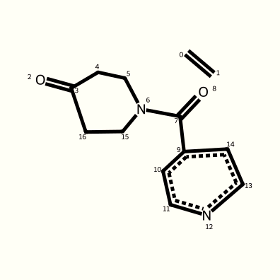 C=C.O=C1CCN(C(=O)c2ccncc2)CC1